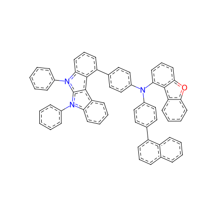 c1ccc(-n2c3ccccc3c3c4c(-c5ccc(N(c6ccc(-c7cccc8ccccc78)cc6)c6cccc7oc8ccccc8c67)cc5)cccc4n(-c4ccccc4)c32)cc1